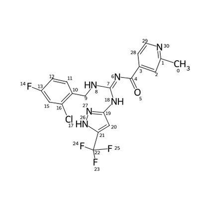 Cc1cc(C(=O)/N=C(/NCc2ccc(F)cc2Cl)Nc2cc(C(F)(F)F)[nH]n2)ccn1